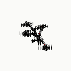 CC(O)[C@H](O)[C@@H](CO)O[C@@H](O)OCCCCCCNC(=O)CCC(NC(=O)CCC(NC(=O)CCC(NC(=O)CCCCCN=[N+]=[N-])C(=O)NCCCCCCO[C@H]1O[C@H](CO)[C@@H](O)C(O)C1O)C(=O)NCCCCCCO[C@H]1O[C@H](CO)[C@@H](O)C(O)C1O)C(=O)NCCCCCCO[C@H]1O[C@H](CO)[C@@H](O)C(O)C1O